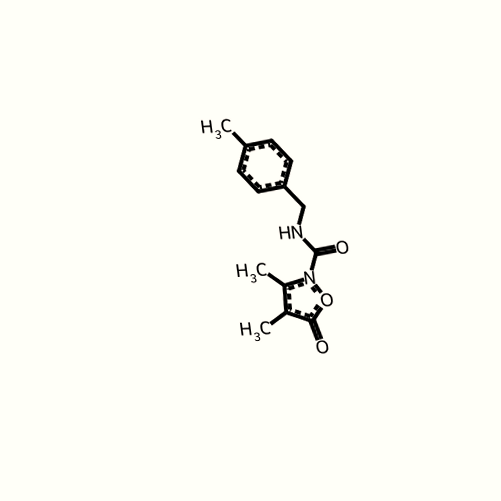 Cc1ccc(CNC(=O)n2oc(=O)c(C)c2C)cc1